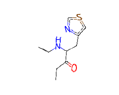 CCNC(Cc1cscn1)C(=O)CC